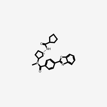 CN(C(=O)c1ccc(-c2nc3ccccc3o2)cc1)C1CC[C@H](NC(=O)C2CCCC2)C1